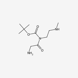 CNCCN(C(=O)CN)C(=O)OC(C)(C)C